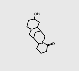 O=C1CCCC2C3CC(CN12)C1CC(O)CCN1C3